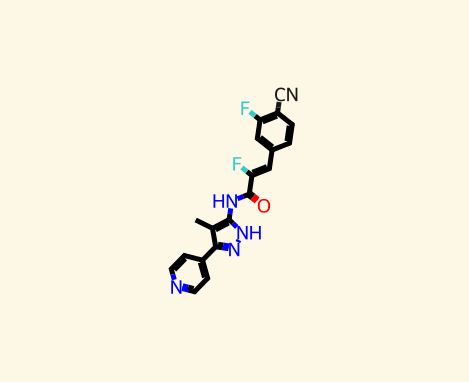 Cc1c(-c2ccncc2)n[nH]c1NC(=O)C(F)=Cc1ccc(C#N)c(F)c1